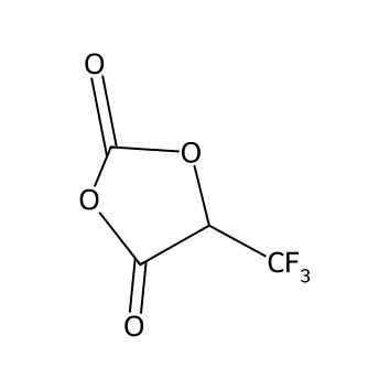 O=C1OC(=O)C(C(F)(F)F)O1